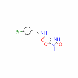 O=C(CC1NC(=O)NC1=O)NCCc1ccc(Br)cc1